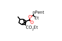 CCCCCC(CC)OC(=O)C1=C(C(=O)OCC)C2CC(C)C1C2